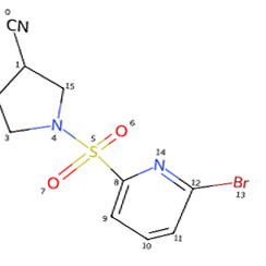 N#CC1CCN(S(=O)(=O)c2cccc(Br)n2)C1